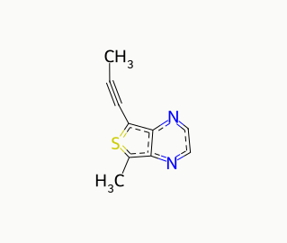 CC#Cc1sc(C)c2nccnc12